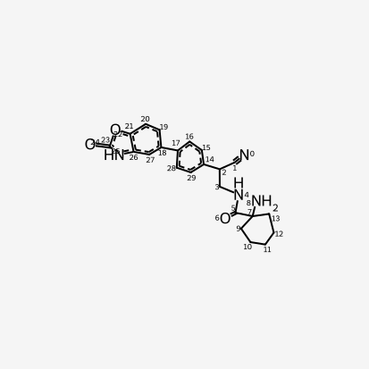 N#CC(CNC(=O)C1(N)CCCCC1)c1ccc(-c2ccc3oc(=O)[nH]c3c2)cc1